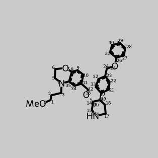 COCCCN1CCOc2ccc(CO[C@H]3CNCC[C@@H]3c3ccc(COc4ccccc4)cc3)cc21